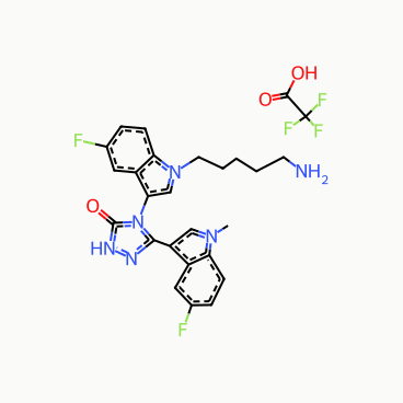 Cn1cc(-c2n[nH]c(=O)n2-c2cn(CCCCCN)c3ccc(F)cc23)c2cc(F)ccc21.O=C(O)C(F)(F)F